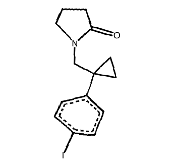 O=C1CCCN1CC1(c2ccc(I)cc2)CC1